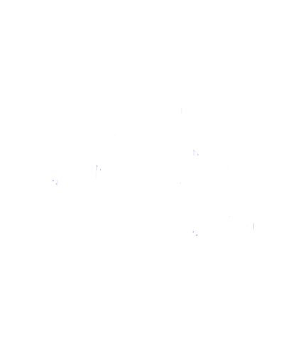 Cc1cncc(S(=O)(=O)Nc2cc(S(=O)(=O)Nc3cccc4c(Cl)c[nH]c34)sc2Cl)c1